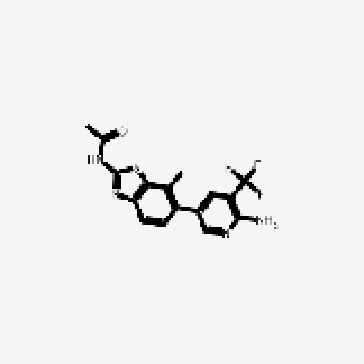 CC(=O)Nc1nc2ccc(-c3cnc(N)c(C(F)(F)F)c3)c(C)c2s1